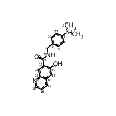 CN(C)c1ccc(CNC(=O)c2cc3ncccc3cc2O)cc1